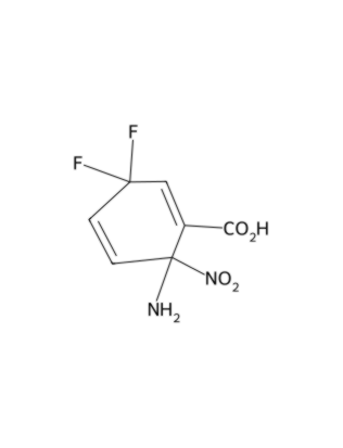 NC1([N+](=O)[O-])C=CC(F)(F)C=C1C(=O)O